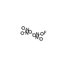 Fc1ccc(-c2nc3cc(-c4ccc5nc(-c6ccccc6)c(-c6ccccc6)nc5c4)ccc3nc2-c2ccccc2)cc1